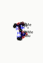 CN[C@@H](C)C(=O)N[C@H](C(=O)N1C[C@@H](NC(=O)[C@H]2CC[C@H](C(=O)N[C@H]3C[C@@H](C(=O)N[C@@H]4CCCc5ccccc54)N(C(=O)[C@@H](NC(=O)[C@H](C)NC)C(C)(C)C)C3)CC2)C[C@H]1C(=O)N[C@@H]1CCCc2ccccc21)C(C)(C)C